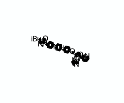 CCC(C)n1ncn(-c2ccc(N3CCN(c4ccc(OC[C@@H]5CO[C@@](Cn6nccn6)(c6cccnc6)O5)cc4)CC3)cc2)c1=O